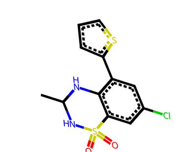 CC1Nc2c(-c3cccs3)cc(Cl)cc2S(=O)(=O)N1